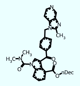 CCCCCCCCCCOC(=O)c1cccc2c1c(C(=O)c1ccc(Cn3c(C)nc4cnccc43)cc1)cn2C(=O)N(C)C